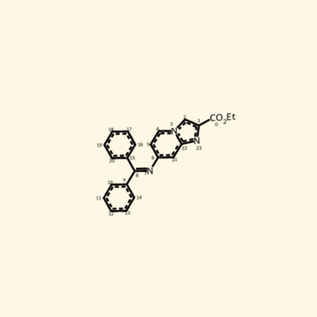 CCOC(=O)c1cn2ccc(N=C(c3ccccc3)c3ccccc3)cc2n1